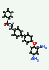 Nc1ccc(Oc2ccc(-c3ccc(/C=C/C(=O)c4ccccc4)cc3)cc2)c(N)c1